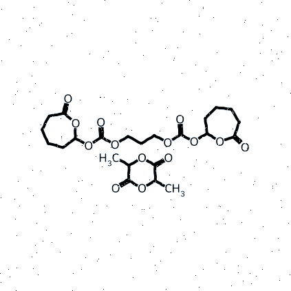 CC1OC(=O)C(C)OC1=O.O=C1CCCCC(OC(=O)OCCCOC(=O)OC2CCCCC(=O)O2)O1